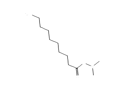 CCCCCCCCCCCCCCCCCC(=O)ON(C)C